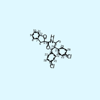 CC(NC(=O)C1Cc2ccccc2O1)C(Cc1ccc(Cl)cc1)c1ccc(Cl)cc1